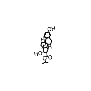 CC(C)OC(=O)[C@H]1C[C@H]2[C@@H]3CCc4cc(O)ccc4[C@H]3CC[C@]2(C)[C@H]1O